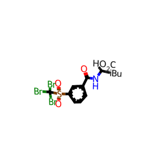 CCC(C)C(NC(=O)c1cccc(S(=O)(=O)C(Br)(Br)Br)c1)C(=O)O